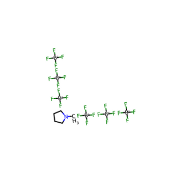 CN1CCCC1.F[B-](F)(F)F.F[B-](F)(F)F.F[B-](F)(F)F.F[B-](F)(F)F.F[B-](F)(F)F.F[B-](F)(F)F